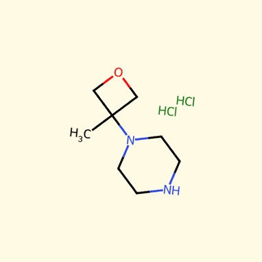 CC1(N2CCNCC2)COC1.Cl.Cl